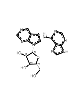 Nc1ncnc2[nH]cnc12.OC[C@H]1O[C@@H](n2cnc3cncnc32)[C@H](O)[C@@H]1O